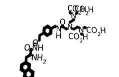 N[C@H](Cc1ccc2ccccc2c1)C(=O)NOCCc1ccc(CNC(=O)CN(CCN(CC(=O)O)CC(=O)O)CCN(CC(=O)O)CC(=O)O)cc1